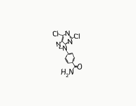 NC(=O)c1ccc(-n2cnc3c(Cl)nc(Cl)nc32)cc1